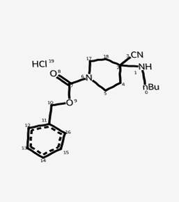 CCCCNC1(C#N)CCN(C(=O)OCc2ccccc2)CC1.Cl